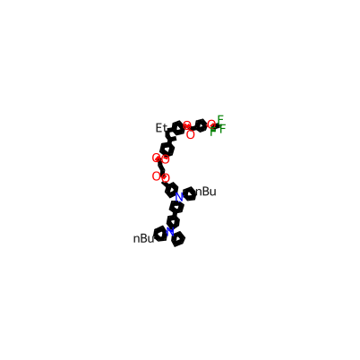 CCCCc1ccc(N(c2ccccc2)c2ccc(-c3ccc(N(c4ccc(CCCC)cc4)c4ccc(COC(=O)CCC(=O)Oc5ccc(C(C)CC(CC)c6ccc(OC(=O)c7ccc(OC(F)=C(F)F)cc7)cc6)cc5)cc4)cc3)cc2)cc1